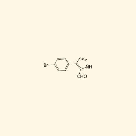 O=Cc1[nH]ccc1-c1ccc(Br)cc1